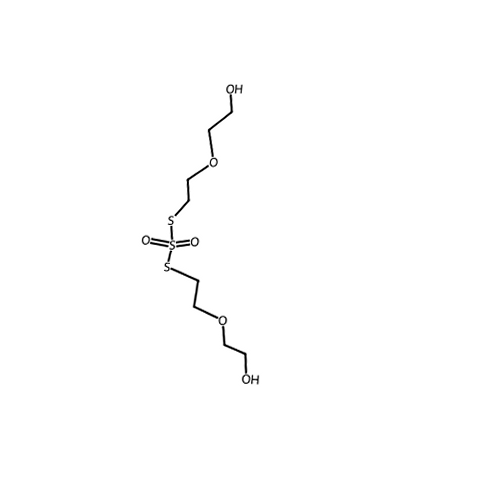 O=S(=O)(SCCOCCO)SCCOCCO